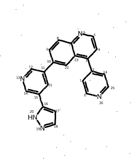 c1cc(-c2ccnc3ccc(-c4cncc(-c5ccn[nH]5)c4)cc23)ccn1